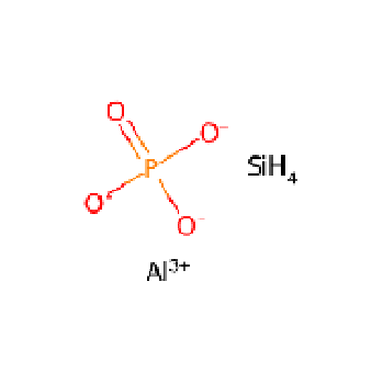 O=P([O-])([O-])[O-].[Al+3].[SiH4]